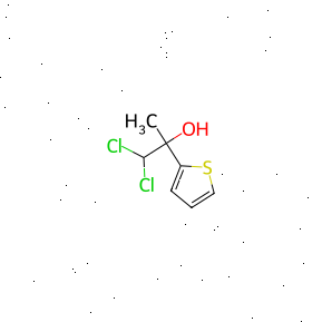 CC(O)(c1cccs1)C(Cl)Cl